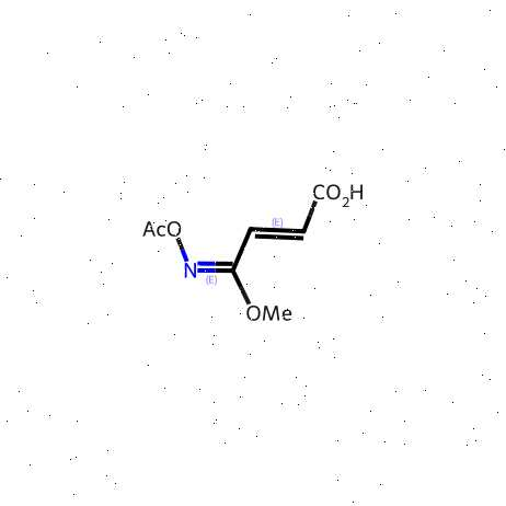 COC(/C=C/C(=O)O)=N/OC(C)=O